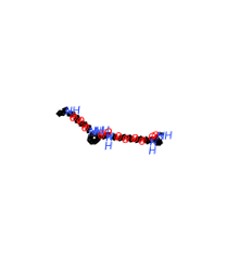 CCCC(C)NCCOCCOCCOCCN/C1=C(\N)C(OCC(=O)NCCOCCOCCOCCOCCC(=O)N[C@H](C(=O)NC)C(C)C)CCCCC1